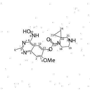 COc1cc2nc(C)nc(NO)c2cc1OC(=O)N1CCNCC12CC2